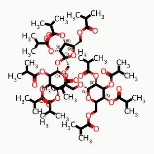 CC(C)C(=O)OCC1O[C@H](OCC2O[C@@H](O[C@]3(COC(=O)C(C)C)O[C@H](COC(=O)C(C)C)[C@@H](OC(=O)C(C)C)[C@H]3OC(=O)C(C)C)C(OC(=O)C(C)C)C(OC(=O)C(C)C)[C@@H]2OC(=O)C(C)C)[C@@H](OC(=O)C(C)C)C(OC(=O)C(C)C)[C@H]1OC(=O)C(C)C